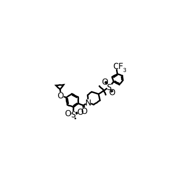 CC(C)(C1CCN(C(=O)c2ccc(OC3CC3)cc2S(C)(=O)=O)CC1)S(=O)(=O)c1cccc(C(F)(F)F)c1